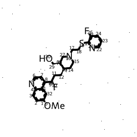 COc1ccc2nccc([C@H](F)CC[C@@H]3CCN(CCSc4ncccc4F)C[C@@H]3CO)c2c1